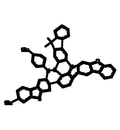 CC(C)(C)c1ccc(N2B3c4cc5c(cc4-n4c6cc7oc8ccccc8c7cc6c6ccc(c3c64)-c3cc4sc6cc(C(C)(C)C)ccc6c4cc32)-c2ccccc2C5(C)C)cc1